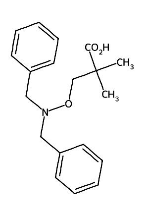 CC(C)(CON(Cc1ccccc1)Cc1ccccc1)C(=O)O